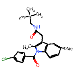 CCC[Si](C)(C)CNC(=O)Cc1c(C)n(C(=O)c2ccc(Cl)cc2)c2ccc(OC)cc12